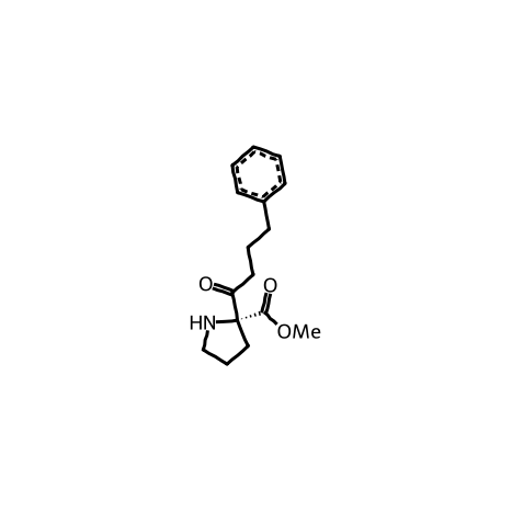 COC(=O)[C@]1(C(=O)CCCc2ccccc2)CCCN1